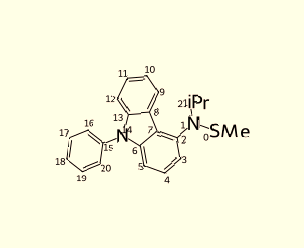 CSN(c1cccc2c1c1ccccc1n2-c1ccccc1)C(C)C